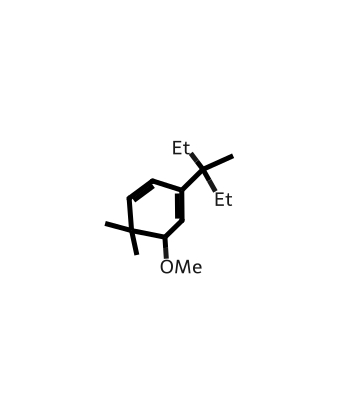 CCC(C)(CC)C1=CC(OC)C(C)(C)C=C1